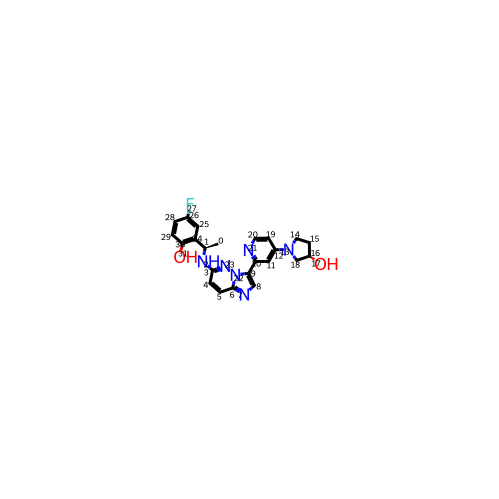 C[C@@H](Nc1ccc2ncc(-c3cc(N4CC[C@@H](O)C4)ccn3)n2n1)c1cc(F)ccc1O